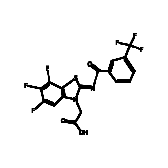 O=C(O)Cn1/c(=N/C(=O)c2cccc(C(F)(F)F)c2)sc2c(F)c(F)c(F)cc21